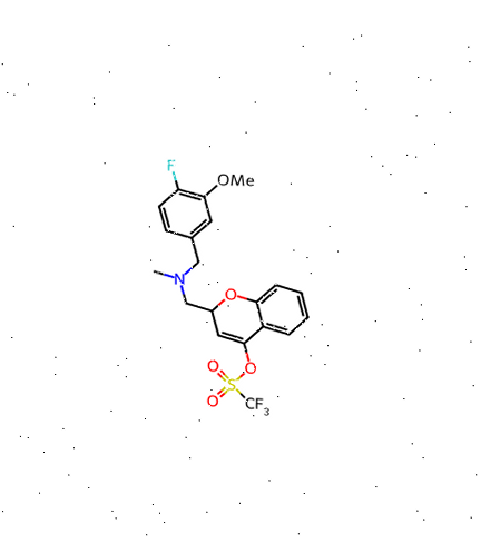 COc1cc(CN(C)CC2C=C(OS(=O)(=O)C(F)(F)F)c3ccccc3O2)ccc1F